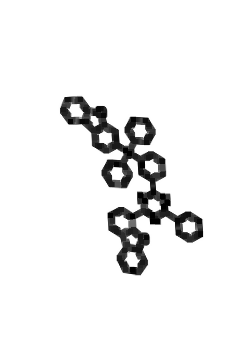 c1ccc(-c2nc(-c3cccc([Si](c4ccccc4)(c4ccccc4)c4ccc5c(c4)oc4ccccc45)c3)nc(-c3cccc4c3oc3ccccc34)n2)cc1